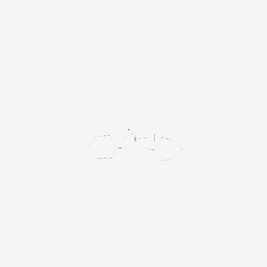 [Cl][Ti]([Cl])([Cl])([Cl])([S]C1CCCCC1)[S]C1CCCCC1